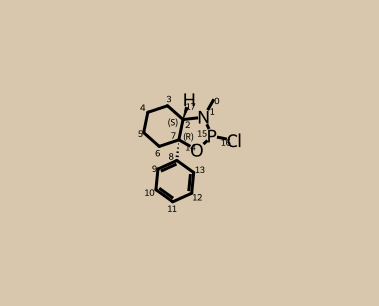 CN1[C@H]2CCCC[C@]2(c2ccccc2)OP1Cl